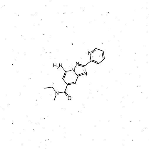 CCN(C)C(=O)c1cc(N)n2nc(-c3ccccn3)nc2c1